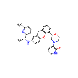 Cc1cccc(C(C)Nc2ccc3c(c2)Cc2cccc(C4CN(c5ccc[nH]c5=O)CCO4)c2O3)n1